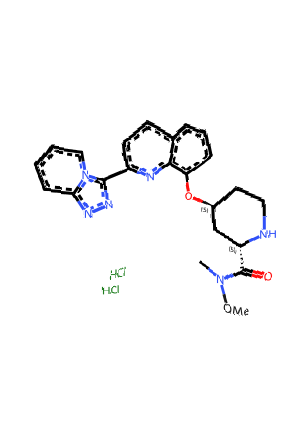 CON(C)C(=O)[C@@H]1C[C@@H](Oc2cccc3ccc(-c4nnc5ccccn45)nc23)CCN1.Cl.Cl